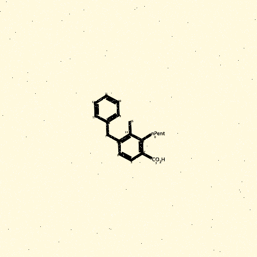 CCCCCc1c(C(=O)O)ccc(Cc2ccccc2)c1C